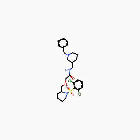 O=C(COCC1CCCCN1S(=O)(=O)c1c(Cl)cccc1Cl)NCC1CCCN(Cc2ccccc2)C1